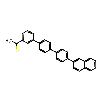 CC(S)c1cccc(-c2ccc(-c3ccc(-c4ccc5ccccc5c4)cc3)cc2)c1